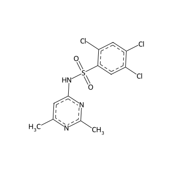 Cc1cc(NS(=O)(=O)c2cc(Cl)c(Cl)cc2Cl)nc(C)n1